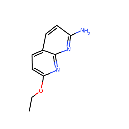 CCOc1ccc2ccc(N)nc2n1